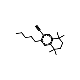 C#Cc1cc2c(cc1CCCCC)C(C)(C)CCC2(C)C